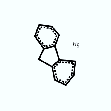 [Hg].c1ccc2c(c1)Cc1ccccc1-2